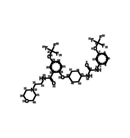 O=C(Nc1cccc(OC(F)(F)F)c1)NC1CCC(Oc2ccc(OC(F)(F)F)cc2C(=O)NCCN2CCOCC2)CC1